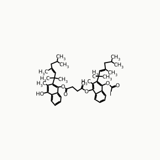 C/C(=C\C(C)(C)c1c(C)c(O)c2ccccc2c1OC(=O)CCC(=O)Oc1c(C)c(C(C)(C)/C=C(\C)CC(C)C)c(OC(=O)I)c2ccccc12)CC(C)C